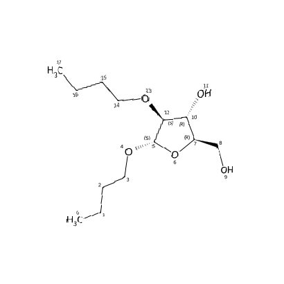 CCCCO[C@H]1O[C@H](CO)[C@@H](O)[C@@H]1OCCCC